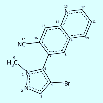 Cn1ncc(Br)c1-c1cc2cccnc2cc1C#N